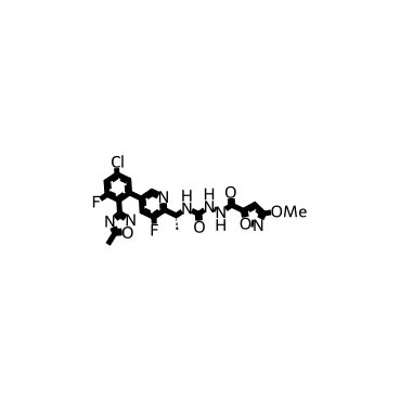 COc1cc(C(=O)NNC(=O)N[C@H](C)c2ncc(-c3cc(Cl)cc(F)c3-c3noc(C)n3)cc2F)on1